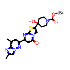 Cc1cn2nc(-c3cc(=O)n4cc(C5(O)CCN(C(=O)OC(C)(C)C)CC5)sc4n3)cc(C)c2n1